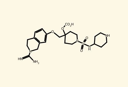 N=C(N)N1CCc2ccc(OCC3(OC(=O)O)CCN(S(=O)(=O)NC4CCNCC4)CC3)cc2C1